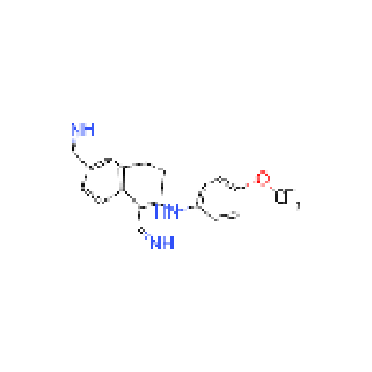 N=CC1=C(Nc2ccc(OC(F)(F)F)cc2)CCc2cc(C=N)ccc21